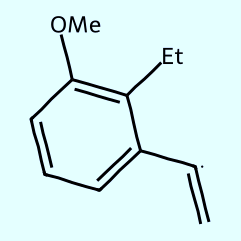 C=[C]c1cccc(OC)c1CC